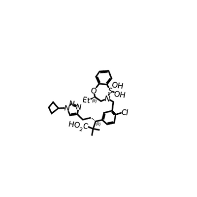 CC[C@@H]1CN(Cc2cc([C@@H](CCc3cn(C4CCC4)nn3)C(C)(C)C(=O)O)ccc2Cl)S(O)(O)c2ccccc2O1